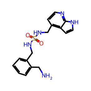 NCc1ccccc1CNS(=O)(=O)NCc1ccnc2[nH]ccc12